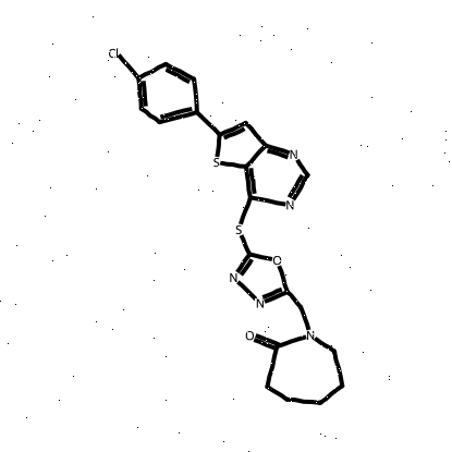 O=C1CCCCCN1Cc1nnc(Sc2ncnc3cc(-c4ccc(Cl)cc4)sc23)o1